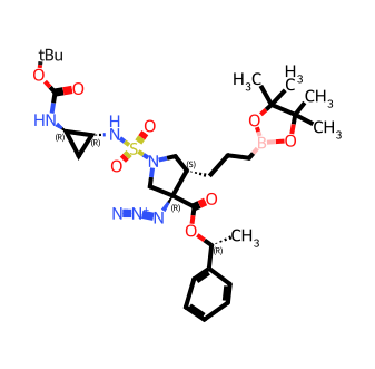 C[C@@H](OC(=O)[C@]1(N=[N+]=[N-])CN(S(=O)(=O)N[C@@H]2C[C@H]2NC(=O)OC(C)(C)C)C[C@@H]1CCCB1OC(C)(C)C(C)(C)O1)c1ccccc1